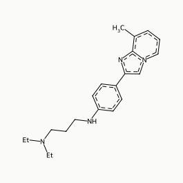 CCN(CC)CCCNc1ccc(-c2cn3cccc(C)c3n2)cc1